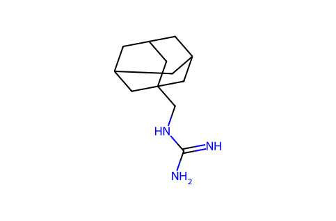 N=C(N)NCC12CC3CC(CC(C3)C1)C2